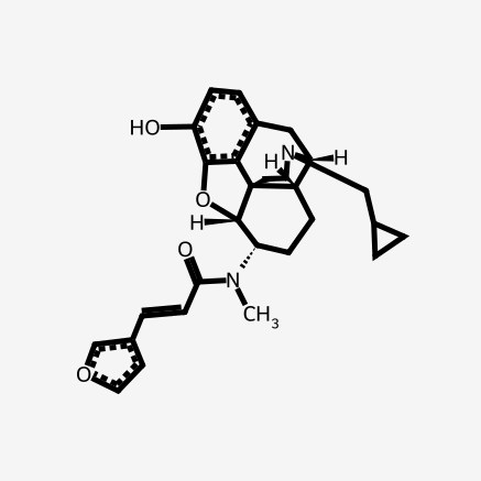 CN(C(=O)/C=C/c1ccoc1)[C@H]1CC[C@H]2[C@H]3Cc4ccc(O)c5c4[C@@]2(CCN3CC2CC2)[C@H]1O5